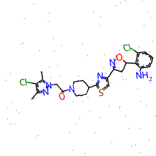 Cc1nn(CC(=O)N2CCC(c3nc(C4=NOC(c5c(N)cccc5Cl)C4)cs3)CC2)c(C)c1Cl